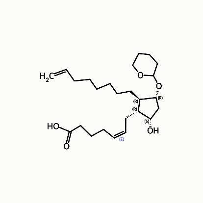 C=CCCCCCC[C@@H]1[C@@H](C/C=C\CCCC(=O)O)[C@@H](O)C[C@H]1OC1CCCCO1